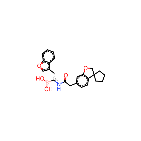 O=C(Cc1ccc2c(c1)OCC21CCCC1)N[C@@H](Cc1coc2ccccc12)B(O)O